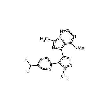 CNc1ncnn2c(C)nc(-c3cnn(C)c3-c3ccc(C(F)F)cc3)c12